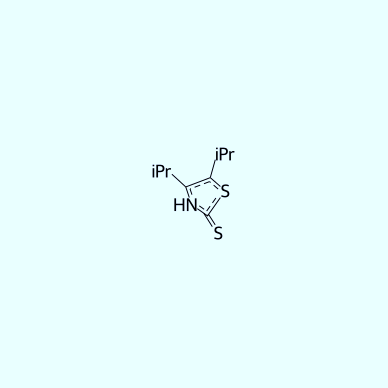 CC(C)c1[nH]c(=S)sc1C(C)C